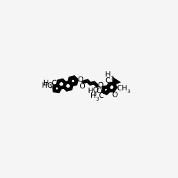 CC1=C2C(=CC(C)(C)[C@@H]2OC(=O)CCCC(=O)Oc2ccc3c(c2)CCC2C3CC[C@]3(C)C(O)CCC23)C(=O)[C@@H](C)C12CC2